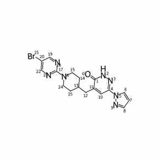 O=c1[nH]nc(-n2cccn2)cc1CC1CCN(c2ncc(Br)cn2)CC1